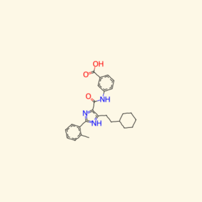 Cc1ccccc1-c1nc(C(=O)Nc2cccc(C(=O)O)c2)c(CCC2CCCCC2)[nH]1